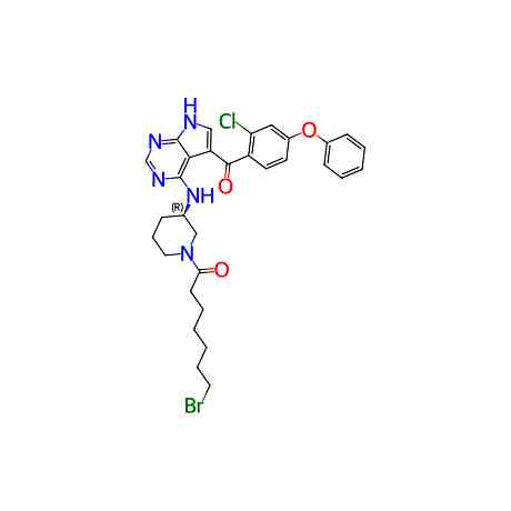 O=C(c1ccc(Oc2ccccc2)cc1Cl)c1c[nH]c2ncnc(N[C@@H]3CCCN(C(=O)CCCCCCBr)C3)c12